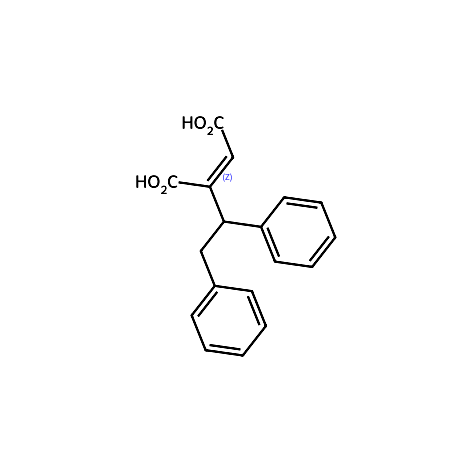 O=C(O)/C=C(\C(=O)O)C(Cc1ccccc1)c1ccccc1